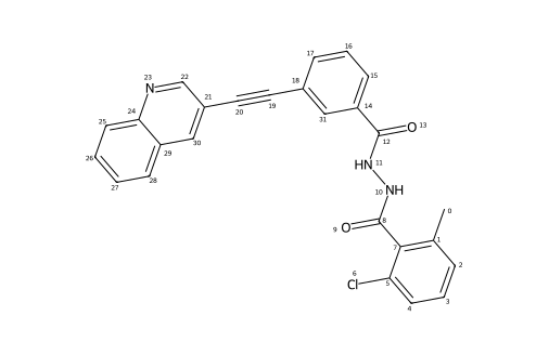 Cc1cccc(Cl)c1C(=O)NNC(=O)c1cccc(C#Cc2cnc3ccccc3c2)c1